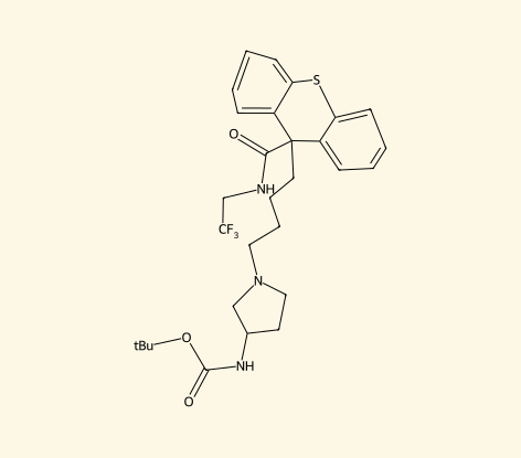 CC(C)(C)OC(=O)NC1CCN(CCCCC2(C(=O)NCC(F)(F)F)c3ccccc3Sc3ccccc32)C1